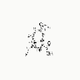 CCn1nc(C(=O)O)c2cc(OC)ccc21